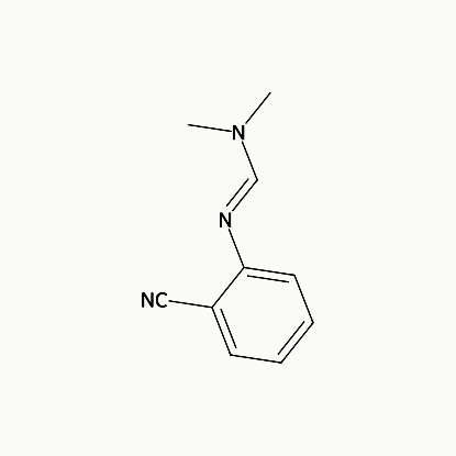 CN(C)C=Nc1ccccc1C#N